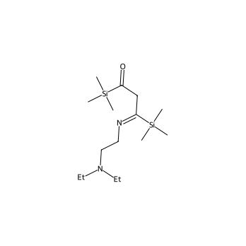 CCN(CC)CC/N=C(/CC(=O)[Si](C)(C)C)[Si](C)(C)C